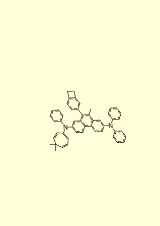 Cc1c(-c2ccc3c(c2)CC3)c2cc(N(C3=CC=CC(C)(C)C=C3)c3ccccc3)ccc2c2ccc(N(c3ccccc3)c3ccccc3)cc12